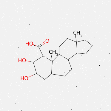 CC12CCCC1C1CCC3CC(O)C(O)C(C(=O)O)C3(C)C1CC2